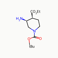 CCOC(=O)[C@H]1CCN(C(=O)OC(C)(C)C)C[C@H]1N